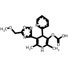 COCc1nc(C2=C(C)NC(C)=C(OC(=O)O)C2c2ccccn2)no1